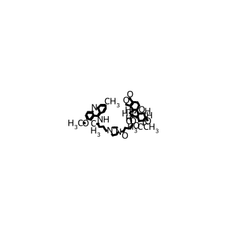 COc1ccc2nc3cc(C)ccc3c(NC(C)CCCN3CCN(C(=O)CCC(=O)O[C@@H]4[C@@]5(C(C)C)O[C@H]5[C@@H]5O[C@]56[C@]45O[C@H]5C[C@H]4C5=C(CC[C@@]46C)C(=O)OC5)CC3)c2c1